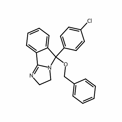 Clc1ccc(C2(OCc3ccccc3)c3ccccc3C3=NCCN32)cc1